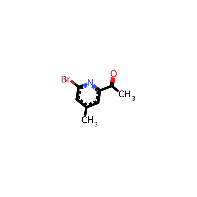 CC(=O)c1cc(C)cc(Br)n1